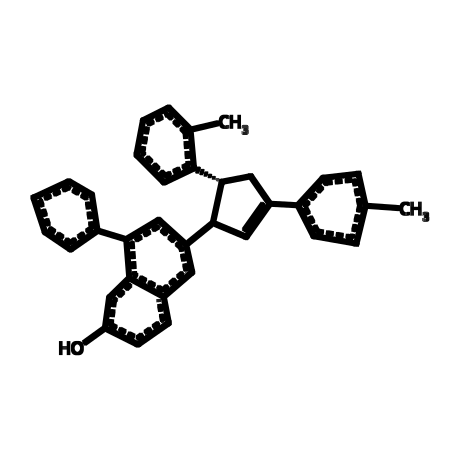 Cc1ccc(C2=CC(c3cc(-c4ccccc4)c4cc(O)ccc4c3)[C@H](c3ccccc3C)C2)cc1